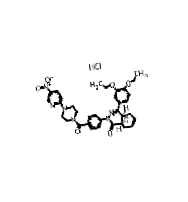 CCOc1ccc(C2=NN(c3ccc(C(=O)N4CCN(c5ccc([N+](=O)[O-])cn5)CC4)cc3)C(=O)[C@@H]3CC=CC[C@H]23)cc1OCC.Cl